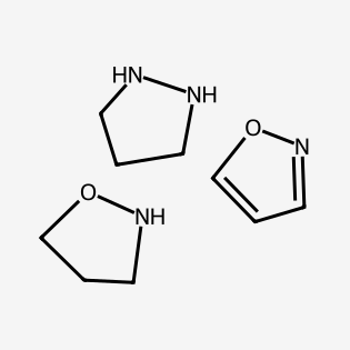 C1CNNC1.C1CNOC1.c1cnoc1